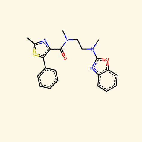 Cc1nc(C(=O)N(C)CCN(C)c2nc3ccccc3o2)c(-c2ccccc2)s1